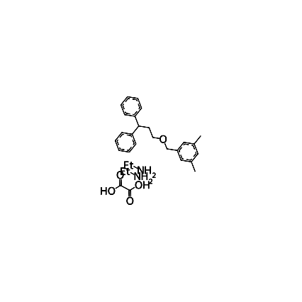 CCN.CCN.Cc1cc(C)cc(COCCC(c2ccccc2)c2ccccc2)c1.O=C(O)C(=O)O